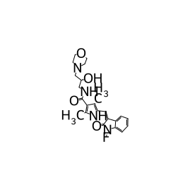 Cc1[nH]c(/C=C2\C(=O)N(F)c3ccccc32)c(C)c1C(=O)NC[C@H](O)CN1CCOCC1